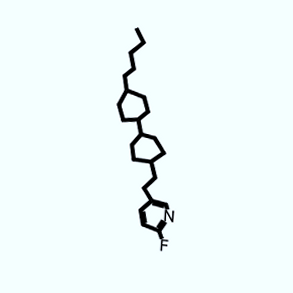 CCCCCC1CCC(C2CCC(CCc3ccc(F)nc3)CC2)CC1